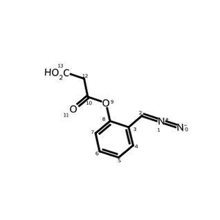 [N-]=[N+]=Cc1ccccc1OC(=O)CC(=O)O